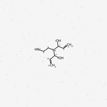 C=CC(O)N(CC[NH])C(O)C=C